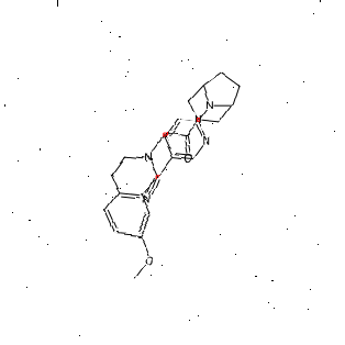 COc1ccc2c(c1)CN(CC(=O)N1CC3CCC(C1)N3c1ccc(C#N)cn1)CC2